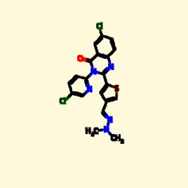 CN(C)N=Cc1csc(-c2nc3ccc(Cl)cc3c(=O)n2-c2ccc(Cl)cn2)c1